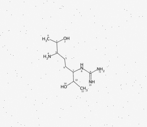 CC(O)C(N)CCC(NC(=N)N)C(C)O